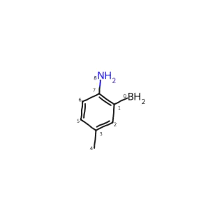 Bc1cc(C)ccc1N